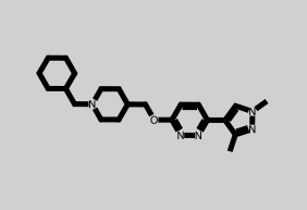 Cc1nn(C)cc1-c1ccc(OCC2CCN(CC3CCCCC3)CC2)nn1